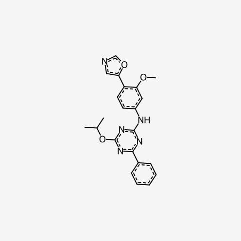 COc1cc(Nc2nc(OC(C)C)nc(-c3ccccc3)n2)ccc1-c1cnco1